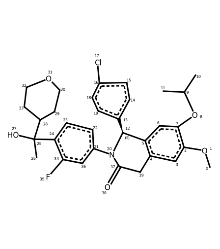 COc1cc2c(cc1OC(C)C)[C@H](c1ccc(Cl)cc1)N(c1ccc(C(C)(O)C3CCOCC3)c(F)c1)C(=O)C2